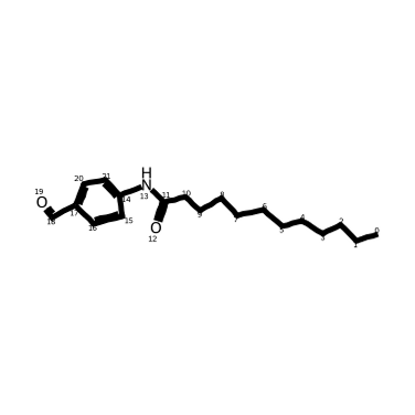 CCCCCCCCCCCC(=O)Nc1ccc(C=O)cc1